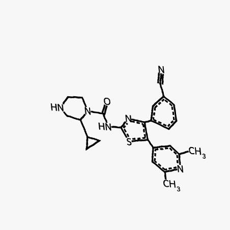 Cc1cc(-c2sc(NC(=O)N3CCNCC3C3CC3)nc2-c2cccc(C#N)c2)cc(C)n1